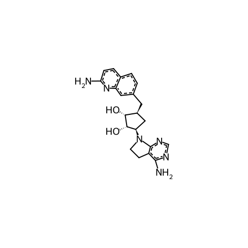 Nc1ccc2ccc(C[C@H]3C[C@@H](N4CCc5c(N)ncnc54)[C@H](O)[C@@H]3O)cc2n1